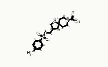 Cc1ccc(S(=O)(=O)OCC2COC3(CCN(C(=O)O)CC3)C2)cc1